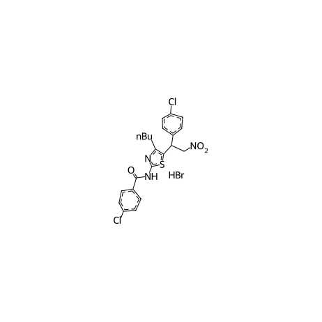 Br.CCCCc1nc(NC(=O)c2ccc(Cl)cc2)sc1C(C[N+](=O)[O-])c1ccc(Cl)cc1